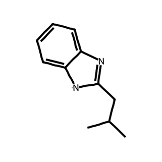 CC(C)CC1=Nc2ccccc2[N]1